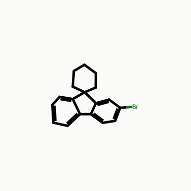 Brc1ccc2c(c1)C1(CCCCC1)c1ccccc1-2